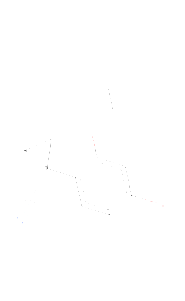 CCOc1cc(Br)ccc1C1(C#N)CC1